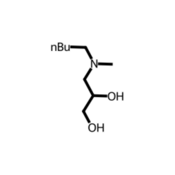 CCCCCN(C)CC(O)CO